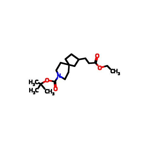 CCOC(=O)CCC1CCC2(CCN(C(=O)OC(C)(C)C)CC2)C1